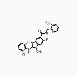 Cc1cccnc1CNC(=O)c1cc2nc(Nc3c(Cl)cccc3Cl)n(C)c2cc1F